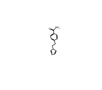 NC(=O)c1ccc(CCn2ccnc2)cc1